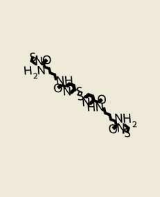 NC(CCCCNC(=O)c1ccc(SSc2ccc(C(=O)NCCCCC(N)C(=O)N3CCSC3)nc2)nc1)C(=O)N1CCSC1